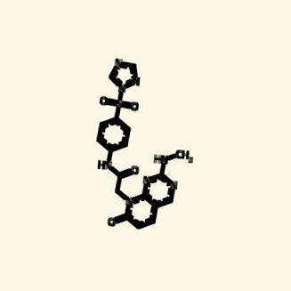 CNc1ncc2ccc(=O)n(CC(=O)Nc3ccc(S(=O)(=O)n4cncn4)cc3)c2n1